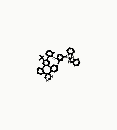 Cc1cc(-n2c3ccccc3n3c4ccccc4nc23)ccc1Oc1c(C)cccc1-c1cc2c(cc1C(C)(C)C)-c1ccccc1-c1cncnc1-c1ccccc1-2